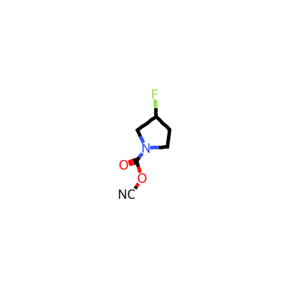 N#COC(=O)N1CCC(F)C1